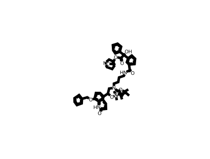 CC(C)(C)OC(=O)N(CCCCNC(=O)c1cccc(C(O)(C(=O)OC2CN3CCC2CC3)c2ccccc2)c1)CC(O[Si](C)(C)C(C)(C)C)c1ccc(OCc2ccccc2)c2[nH]c(=O)ccc12